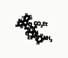 CCOC(=O)Cn1c(=O)n(Cc2nc3ccccc3c3ncccc23)c(=O)c2c1nc(N1CCCC(N)C1)n2CC